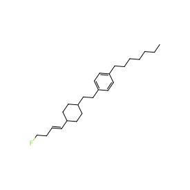 CCCCCCCc1ccc(CCC2CCC(/C=C/CCF)CC2)cc1